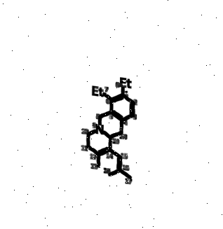 CCc1ccc2c(c1CC)CN1CCC(C)=C(C=C(C)C)C1C2